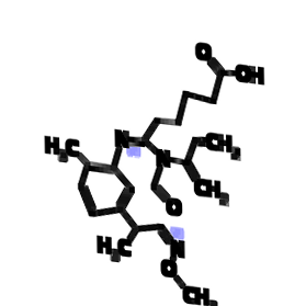 C=CC(=C)N(C=O)/C(CCCCC(=O)O)=N\c1cc(C(C)/C=N\OC)ccc1C